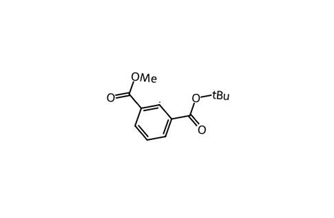 COC(=O)c1[c]c(C(=O)OC(C)(C)C)ccc1